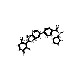 CN(C(=O)c1ccc(-c2cnc3c(c2)OC(c2c(Cl)ccc(F)c2Cl)N3)cc1)C1CCCC1